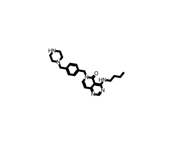 CCCCNc1ncnc2ccn(Cc3ccc(CN4CCNCC4)cc3)c(=O)c12